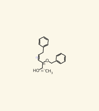 C[C@H](O)[C@@H](/C=C\Cc1ccccc1)OCc1ccccc1